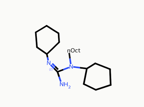 CCCCCCCCN(/C(N)=N\C1CCCCC1)C1CCCCC1